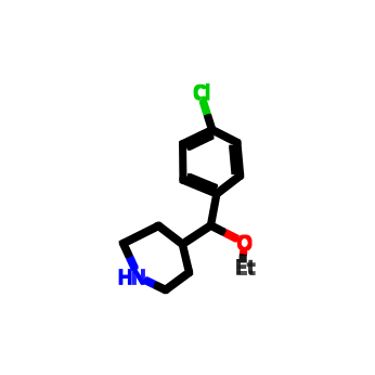 CCOC(c1ccc(Cl)cc1)C1CCNCC1